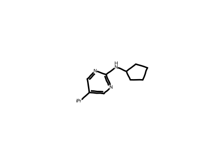 CC(C)c1cnc(NC2CCCC2)nc1